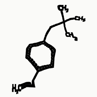 C=Cc1ccc(CC(C)(C)C)cc1